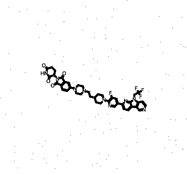 O=C1CCC(N2C(=O)c3ccc(N4CCN(CCC5CCN(c6ncc(-c7ccc8c9cnccc9n(CC(F)(F)F)c8n7)cc6F)CC5)CC4)cc3C2=O)C(=O)N1